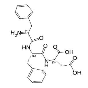 N[C@@H](Cc1ccccc1)C(=O)N[C@@H](Cc1ccccc1)C(=O)N[C@@H](CC(=O)O)C(=O)O